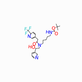 CC(C)(C)OC(=O)NCCCCCN(CC(O)c1cccnc1)C(=O)Cc1ccc(C(F)(F)F)nc1